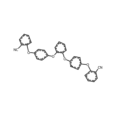 N#Cc1ccccc1Oc1ccc(Oc2ccccc2Oc2ccc(Oc3ccccc3C#N)cc2)cc1